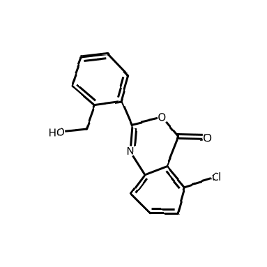 O=c1oc(-c2ccccc2CO)nc2cccc(Cl)c12